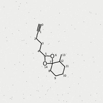 C#CCCCC1OC2(CCCCC2C)O1